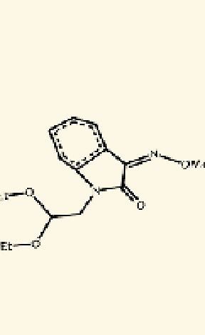 CCOC(CN1C(=O)C(=NOC)c2ccccc21)OCC